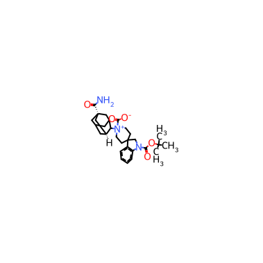 CC(C)(C)OC(=O)N1CC2(CC[N+](C(=O)[O-])(C3C4CC5C[C@H]3C[C@@](C(N)=O)(C5)C4)CC2)c2ccccc21